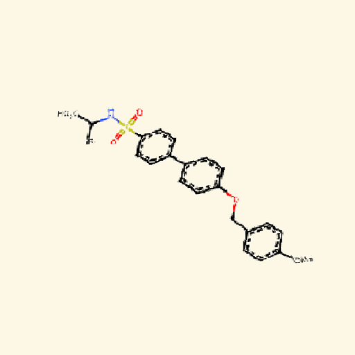 COc1ccc(COc2ccc(-c3ccc(S(=O)(=O)NC(C(=O)O)C(C)C)cc3)cc2)cc1